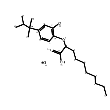 CCCCCCCCC(Oc1ccc(C(C)(C)C(C)C)cc1Cl)C(=O)O.Cl